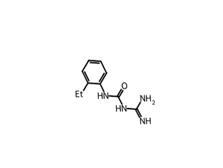 CCc1ccccc1NC(=O)NC(=N)N